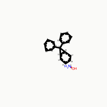 NO.c1ccc(C2(c3ccccc3)c3ccccc32)cc1